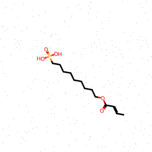 CC=CC(=O)OCCCCCCCCCP(=O)(O)O